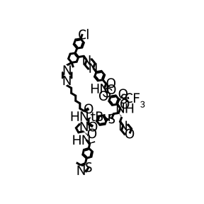 Cc1ncsc1-c1ccc([C@H](C)NC(=O)[C@@H]2CCCN2C(=O)[C@@H](NC(=O)CCCCCCCN2CCN(CC3(C)CCC(c4ccc(Cl)cc4)=C(CN4CCN(c5ccc(C(=O)NS(=O)(=O)c6ccc(N[C@H](CCN7CCOCC7)CSc7ccccc7)c(S(=O)(=O)C(F)(F)F)c6)cc5)CC4)C3)CC2)C(C)(C)C)cc1